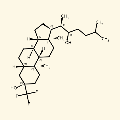 CC(C)CC[C@@H](O)[C@H](C)[C@@H]1CC[C@H]2[C@@H]3CC[C@H]4C[C@](O)(C(F)(F)F)CC[C@]4(C)[C@H]3CC[C@]12C